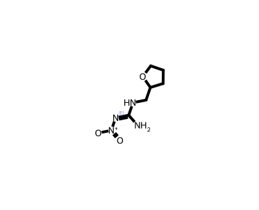 N/C(=N\[N+](=O)[O-])NCC1CCCO1